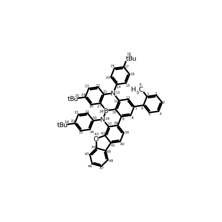 Cc1ccccc1-c1cc2c3c(c1)N(c1ccc(C(C)(C)C)cc1)c1ccc(C(C)(C)C)cc1B3N(c1ccc(C(C)(C)C)cc1)c1c-2ccc2c1oc1ccccc12